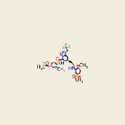 COc1ccc(S(C)(=O)=O)cc1NCC#Cc1cc(C(=O)N[C@H]2CCN(C[C@H](C)O)C[C@@H]2C)c2ncn(CC(F)(F)F)c2c1